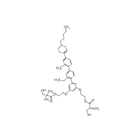 C=C(CO)C(=O)OCCOc1cc(OCCOC(=O)C(C)(C)CO)cc(-c2ccc(-c3ccc(C4=CCC(CCCCC)CC4)cc3C)cc2CC)c1